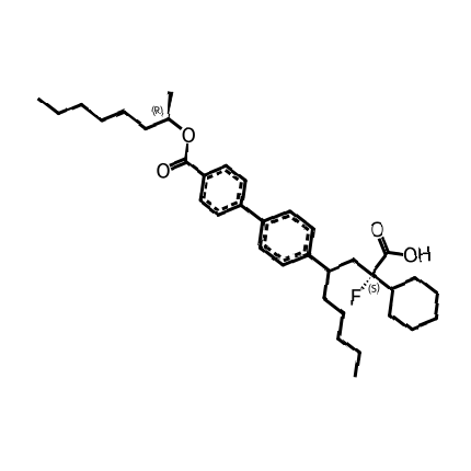 CCCCCC[C@@H](C)OC(=O)c1ccc(-c2ccc(C(CCCCC)C[C@@](F)(C(=O)O)C3CCCCC3)cc2)cc1